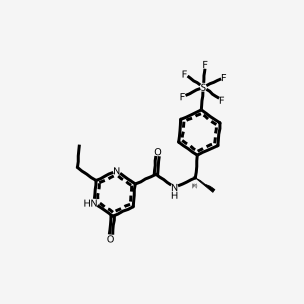 CCc1nc(C(=O)N[C@H](C)c2ccc(S(F)(F)(F)(F)F)cc2)cc(=O)[nH]1